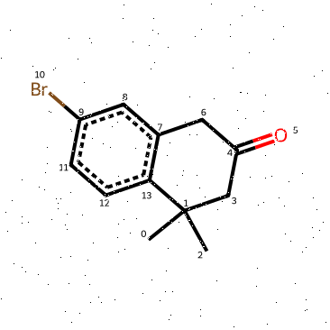 CC1(C)CC(=O)Cc2cc(Br)ccc21